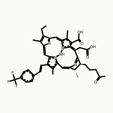 CCC1=C(C)/C2=C/c3c(/C=C/c4ccc(C(F)(F)F)cc4)c(C)c4n3Nn3/c(c(C)c(C(=O)O)/c3=C(\CC(=O)O)C3=N/C(=C\4)[C@@H](C)[C@@H]3CCCC(C)=O)=C\C1=N2